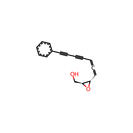 OC[C@@H]1O[C@H]1C=C=CC#CC#Cc1ccccc1